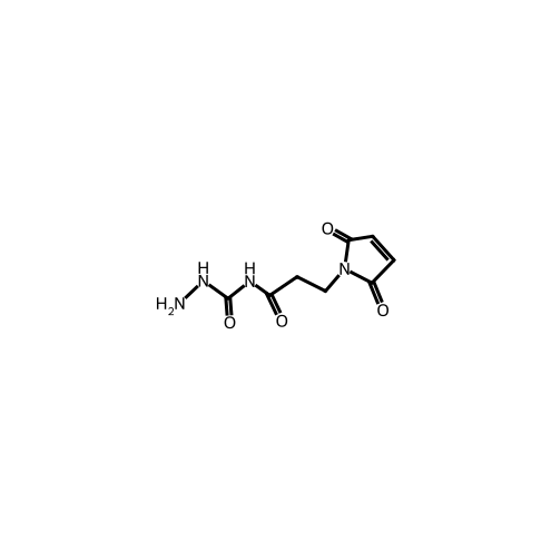 NNC(=O)NC(=O)CCN1C(=O)C=CC1=O